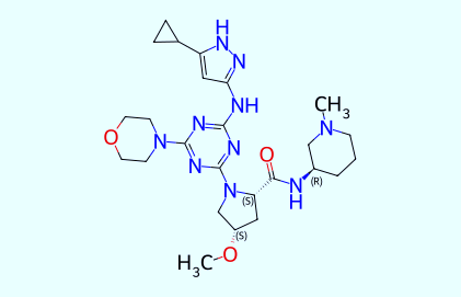 CO[C@H]1C[C@@H](C(=O)N[C@@H]2CCCN(C)C2)N(c2nc(Nc3cc(C4CC4)[nH]n3)nc(N3CCOCC3)n2)C1